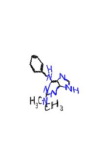 CN(C)c1nc(NCc2ccccc2)c2nc[nH]c2n1